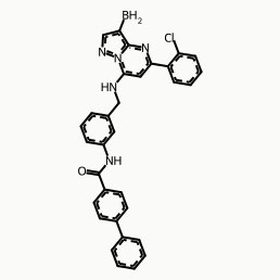 Bc1cnn2c(NCc3cccc(NC(=O)c4ccc(-c5ccccc5)cc4)c3)cc(-c3ccccc3Cl)nc12